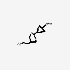 COc1ccc(C2OCC(CCC(F)(F)F)CO2)cc1